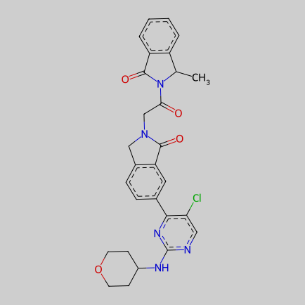 CC1c2ccccc2C(=O)N1C(=O)CN1Cc2ccc(-c3nc(NC4CCOCC4)ncc3Cl)cc2C1=O